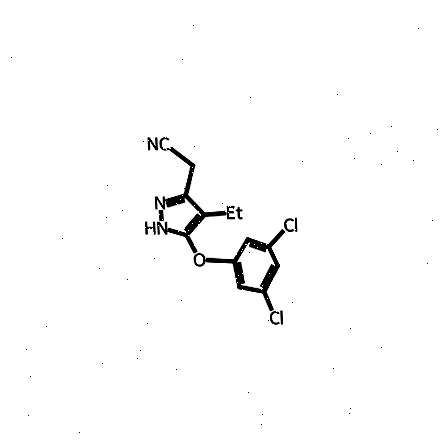 CCc1c(CC#N)n[nH]c1Oc1cc(Cl)cc(Cl)c1